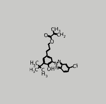 C=C(C)C(=O)OCCCc1cc(-n2nc3ccc(Cl)cc3n2)c(O)c(C(C)(C)C)c1